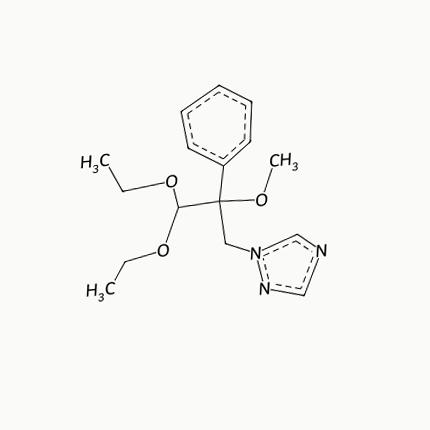 CCOC(OCC)C(Cn1cncn1)(OC)c1ccccc1